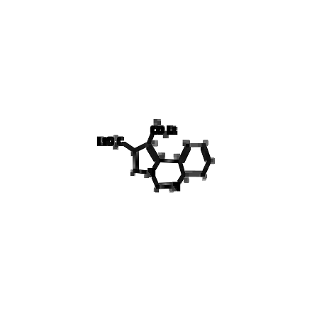 CCOC(=O)c1cn2cnc3ccccc3c2c1C(=O)OCC